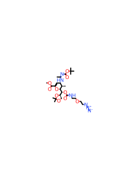 COC(=O)C1=C[C@H](N/C(C)=N\C(=O)OC(C)(C)C)[C@@H](C)[C@H]([C@H](OC(=O)NCCOCCN=[N+]=[N-])[C@H]2COC(C)(C)O2)O1